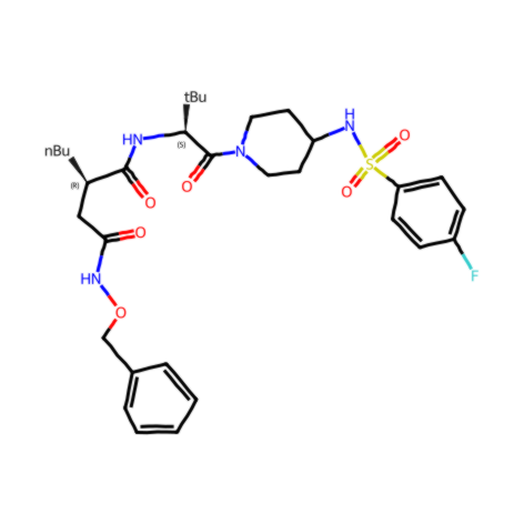 CCCC[C@H](CC(=O)NOCc1ccccc1)C(=O)N[C@H](C(=O)N1CCC(NS(=O)(=O)c2ccc(F)cc2)CC1)C(C)(C)C